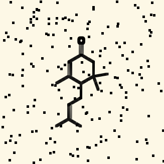 CC(C)=CCC1C(C)=CC(=O)CC1(C)C